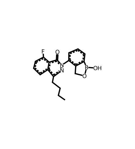 CCCCc1nn(-c2cccc3c2COB3O)c(=O)c2c(F)cccc12